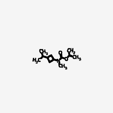 CC(C)OC(=O)N(C)C1CC(C(C)C)C1